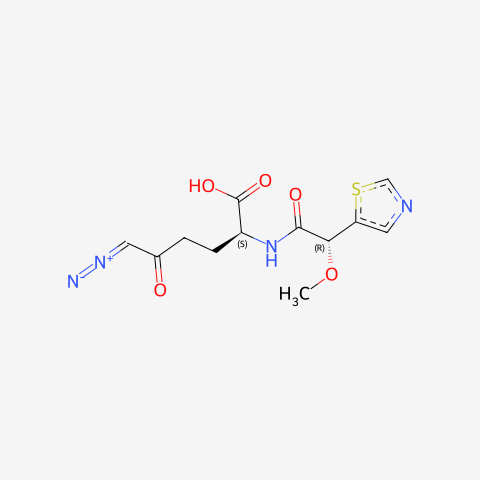 CO[C@H](C(=O)N[C@@H](CCC(=O)C=[N+]=[N-])C(=O)O)c1cncs1